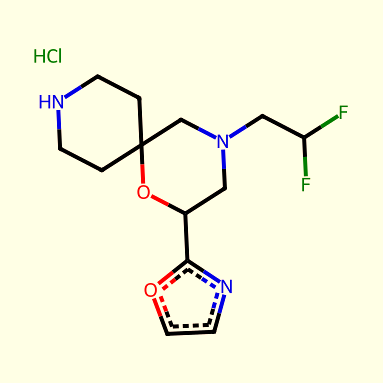 Cl.FC(F)CN1CC(c2ncco2)OC2(CCNCC2)C1